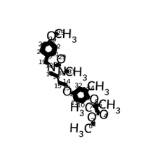 CCOC(=O)C(C)(C)Oc1ccc(OCC[C@H]2CN(Cc3ccc(OC)cc3)C(=O)N2C)cc1C